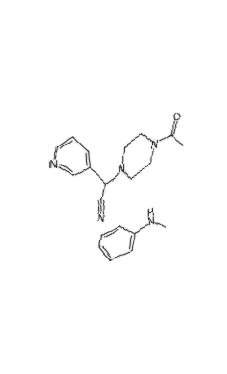 CC(=O)N1CCN(C(C#N)c2cccnc2)CC1.CNc1ccccc1